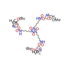 COCCOCC(CN1CC1C)OC(=O)NCCCCCCn1c(=O)n(CCCCCCNC(=O)OC(COC(C)COC(C)(C)C)CN2CC2C)c(=O)n(CCCCCCNC(=O)OC(COC(C)COC(C)(C)C)CN2CC2C)c1=O